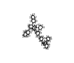 c1ccc(-c2nc3c(-c4ccc5ccccc5c4)ccc(-c4ccc5ccccc5c4)c3nc2-c2ccc(-c3ccc(-c4nc5ccccc5n4-c4ccccc4)cc3)cc2)cc1